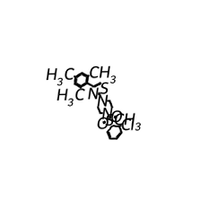 Cc1cc(C)c(-c2csc(N3CCN(S(=O)(=O)C4C=CC=CC4(C)Cl)CC3)n2)c(C)c1